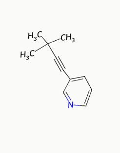 CC(C)(C)C#Cc1cccnc1